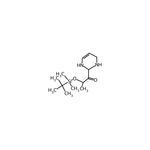 CC(O[Si](C)(C)C(C)(C)C)C(=O)C1NC=CCN1